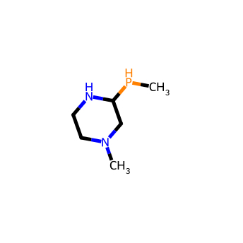 CPC1CN(C)CCN1